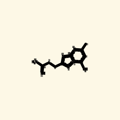 Cc1cc(O)n2nc(CSC(=N)N)nc2n1